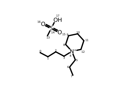 CCCC[N+]1(CCC)CCCCC1.CS(=O)(=O)O